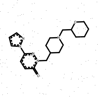 O=c1ccc(-n2cccn2)nn1CC1CCN(CC2CCCCO2)CC1